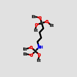 CCO[Si](CCCCN[Si](OCC)(OCC)OCC)(OCC)OCC